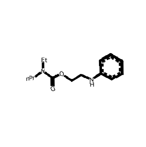 CCCN(CC)C(=O)OCCNc1ccccc1